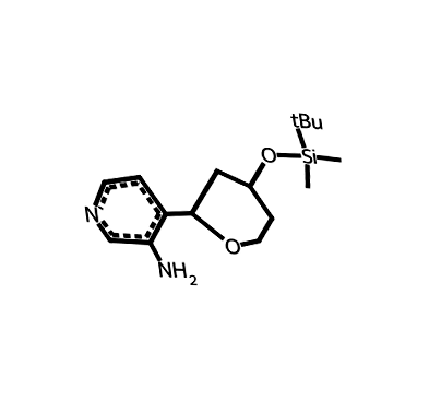 CC(C)(C)[Si](C)(C)OC1CCOC(c2ccncc2N)C1